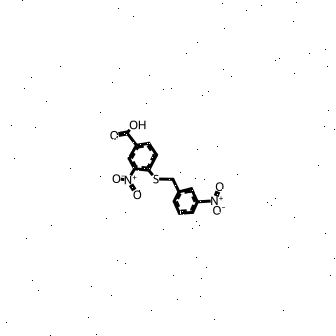 O=C(O)c1ccc(SCc2cccc([N+](=O)[O-])c2)c([N+](=O)[O-])c1